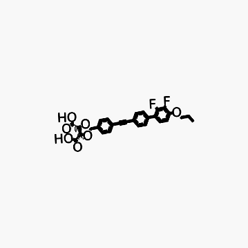 CCCOc1ccc(-c2ccc(C#Cc3ccc(C4O[C@@H](C(=O)O)[C@H](C(=O)O)O4)cc3)cc2)c(F)c1F